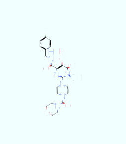 Cn1c(N2CCN(C(=O)N3CCOCC3)CC2)nc(C(=O)NCc2ccc(F)cc2)c(O)c1=O